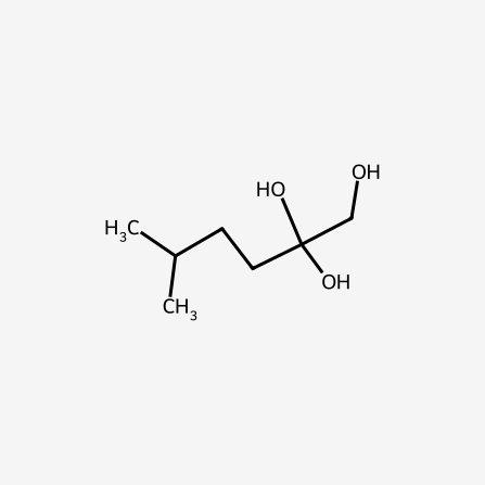 CC(C)CCC(O)(O)CO